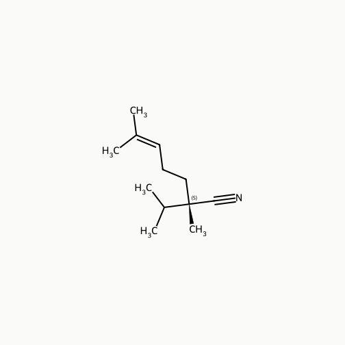 CC(C)=CCC[C@](C)(C#N)C(C)C